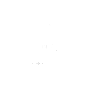 O=[C]CCNC(=O)c1ccccc1